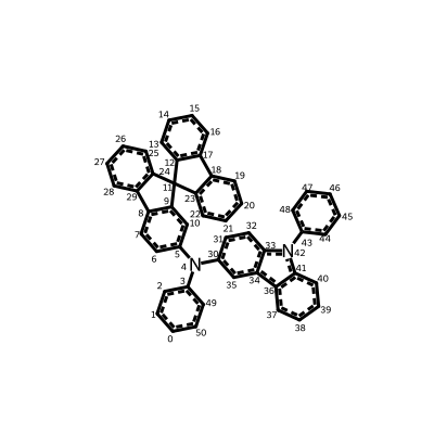 c1ccc(N(c2ccc3c(c2)C2(c4ccccc4-c4ccccc42)c2ccccc2-3)c2ccc3c(c2)c2ccccc2n3-c2ccccc2)cc1